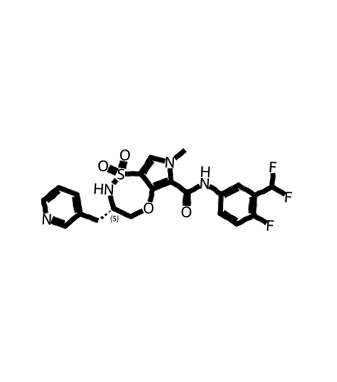 Cn1cc2c(c1C(=O)Nc1ccc(F)c(C(F)F)c1)OC[C@H](Cc1cccnc1)NS2(=O)=O